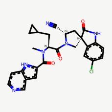 CN(C(=O)c1cc2cnccc2[nH]1)[C@@H](CC1CC1)C(=O)N1C[C@]2(C[C@H]1C#N)C(=O)Nc1ccc(Cl)cc12